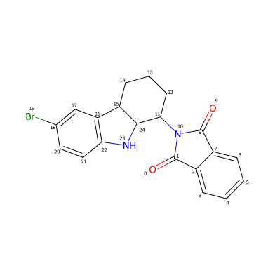 O=C1c2ccccc2C(=O)N1C1CCCC2c3cc(Br)ccc3NC21